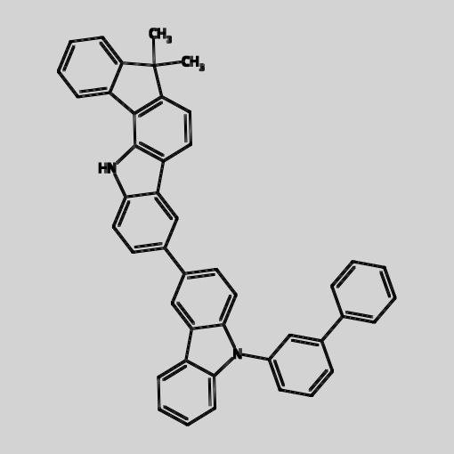 CC1(C)c2ccccc2-c2c1ccc1c2[nH]c2ccc(-c3ccc4c(c3)c3ccccc3n4-c3cccc(-c4ccccc4)c3)cc21